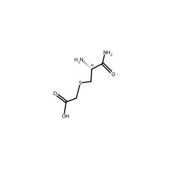 NC(=O)[C@@H](N)CSCC(=O)O